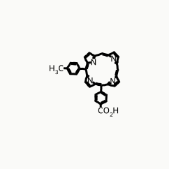 Cc1ccc(C2=C3C=CC(=N3)C=C3C=CC(=N3)C=C3C=CC(=N3)C(c3ccc(C(=O)O)cc3)=C3C=CC2=N3)cc1